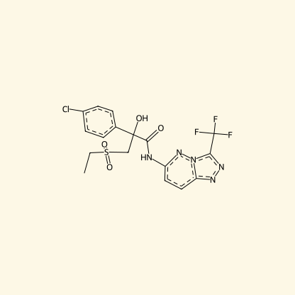 CCS(=O)(=O)CC(O)(C(=O)Nc1ccc2nnc(C(F)(F)F)n2n1)c1ccc(Cl)cc1